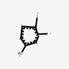 [CH2]C(=O)c1ccc(I)c(I)c1